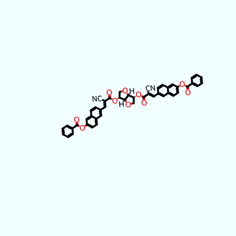 N#C/C(=C\c1ccc2cc(OC(=O)c3ccccc3)ccc2c1)C(=O)O[C@H]1CO[C@H]2[C@@H]1OC[C@H]2OC(=O)/C(C#N)=C/c1ccc2cc(OC(=O)c3ccccc3)ccc2c1